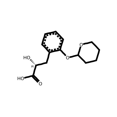 O=C(O)[C@H](O)Cc1ccccc1OC1CCCCO1